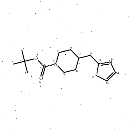 CC(C)(C)OC(=O)N1CCC(Cc2nccs2)CC1